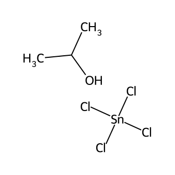 CC(C)O.[Cl][Sn]([Cl])([Cl])[Cl]